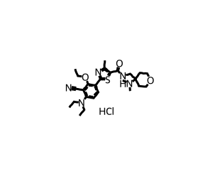 CCOc1c(-c2nc(C)c(C(=O)NCC3(N(C)C)CCOCC3)s2)ccc(N(CC)CC)c1C#N.Cl